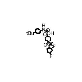 CC(C)(C)c1ccc(NC(=O)OC2(O)CCN(S(=O)(=O)c3ccc(F)cc3F)CC2)cc1